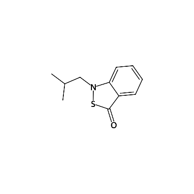 CC(C)Cn1sc(=O)c2ccccc21